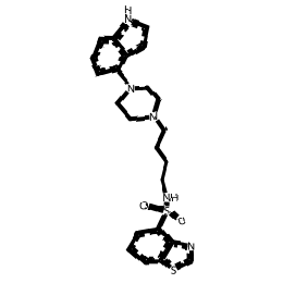 O=S(=O)(NCCCCN1CCN(c2cccc3[nH]ccc23)CC1)c1cccc2scnc12